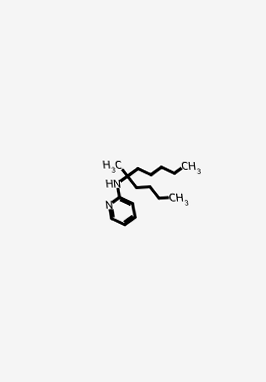 CCCCCC(C)(CCCC)Nc1ccccn1